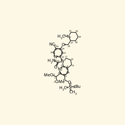 COC(OC)c1nc2c(cc1CO[Si](C)(C)C(C)(C)C)CCC[N+]2(C(N)=O)c1cc(OCC2CCCCN2C)c(C#N)cn1